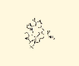 C=C(CC(C)(C)C)NC(CC)C(C)Nc1nc(Nc2cnc(OC)c(-n3nccn3)c2)c(C(N)=O)cc1CF